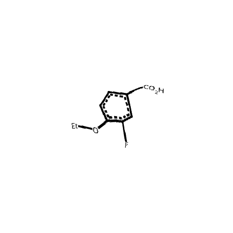 CCOc1ccc(C(=O)O)cc1F